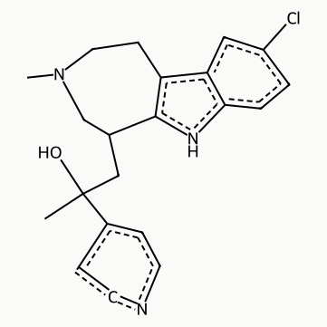 CN1CCc2c([nH]c3ccc(Cl)cc23)C(CC(C)(O)c2ccncc2)C1